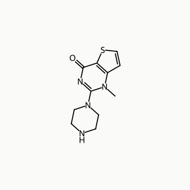 Cn1c(N2CCNCC2)nc(=O)c2sccc21